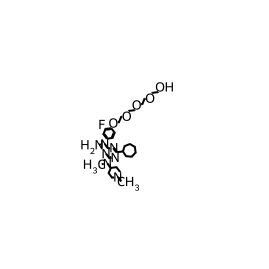 CN1CCC(N(C)c2nc(C3CCCCCC3)nc(N(N)c3ccc(OCCOCCOCCOCCO)c(F)c3)n2)CC1